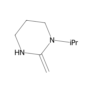 C=C1NCCCN1C(C)C